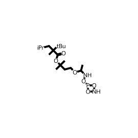 CC(C)CC(C)(C(=O)OC(C)(C)CCOC(C)NOP1ONO1)C(C)(C)C